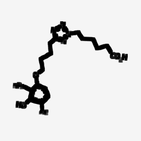 CCCc1c(OCCCCc2nnn(CCCCCC(=O)O)n2)ccc(C(C)=O)c1O